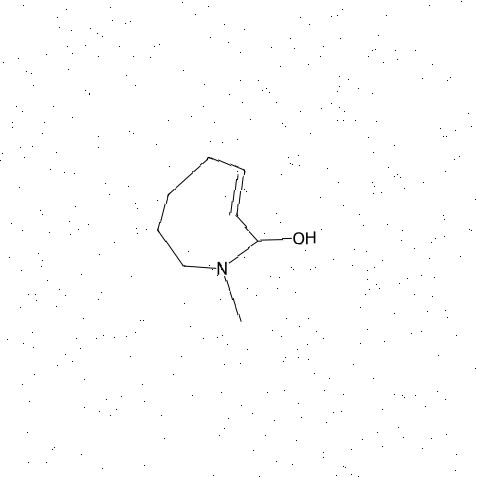 CN1CCCC/C=C/C1O